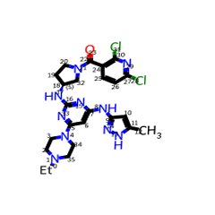 CCN1CCN(c2cc(Nc3cc(C)[nH]n3)nc(N[C@H]3CCN(C(=O)c4ccc(Cl)nc4Cl)C3)n2)CC1